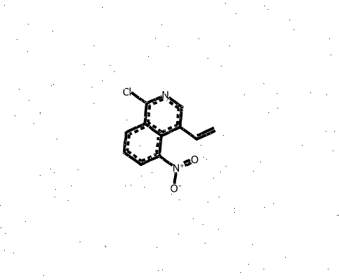 C=Cc1cnc(Cl)c2cccc([N+](=O)[O-])c12